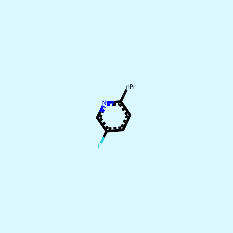 [CH2]CCc1ccc(F)cn1